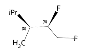 CC(C)[C@H](C)[C@@H](F)CF